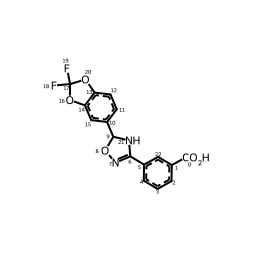 O=C(O)c1cccc(C2=NOC(c3ccc4c(c3)OC(F)(F)O4)N2)c1